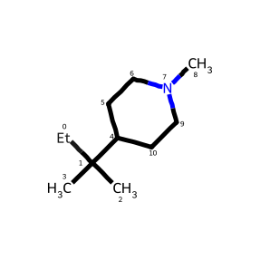 CCC(C)(C)C1CCN(C)CC1